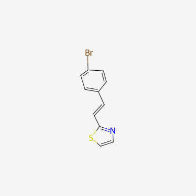 Brc1ccc(/C=C/c2nccs2)cc1